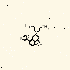 CCCN(CCC)C1Cc2c(-c3cnco3)ccc3c2C(CN3)C1